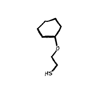 SCCOC1CCCCC1